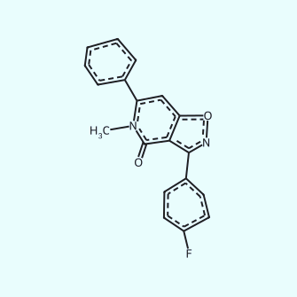 Cn1c(-c2ccccc2)cc2onc(-c3ccc(F)cc3)c2c1=O